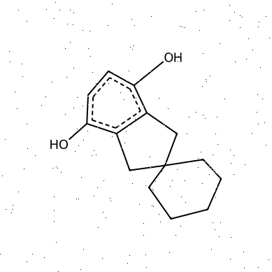 Oc1ccc(O)c2c1CC1(CCCCC1)C2